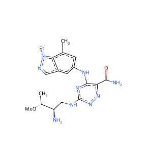 CCn1ncc2cc(Nc3nc(NC[C@@H](N)[C@@H](C)OC)nnc3C(N)=O)cc(C)c21